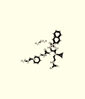 CC(=O)C(=O)NCCN(C(=O)[C@H](CC(=O)NC[C@@H]1CCCN(C=NN)C1)NS(=O)(=O)c1ccc2ccccc2c1)C1CC1.CC(=O)O